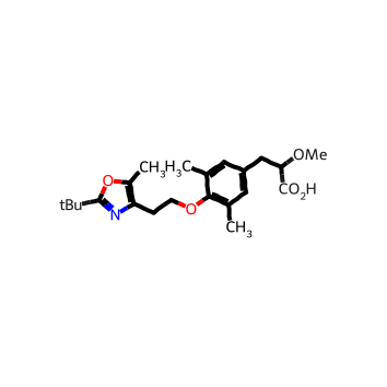 COC(Cc1cc(C)c(OCCc2nc(C(C)(C)C)oc2C)c(C)c1)C(=O)O